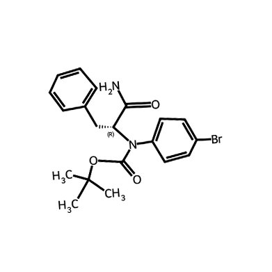 CC(C)(C)OC(=O)N(c1ccc(Br)cc1)[C@H](Cc1ccccc1)C(N)=O